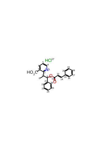 CC(c1ncccc1C(=O)O)C(OC(=O)C=Cc1ccccc1)c1ccccc1.Cl